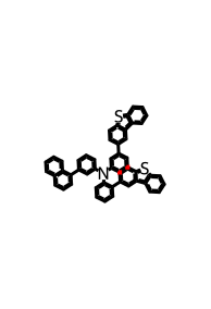 c1cc(-c2ccc3sc4ccccc4c3c2)cc(N(c2cccc(-c3cccc4ccccc34)c2)c2ccccc2-c2ccc3sc4ccccc4c3c2)c1